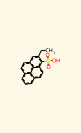 CCc1cc2ccc3cccc4ccc(c1S(=O)(=O)O)c2c34